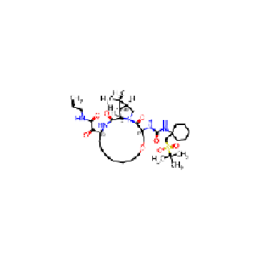 C=CCNC(=O)C(=O)[C@@H]1CCCCCCCOC[C@H](NC(=O)NC2(CS(=O)(=O)C(C)(C)C)CCCCC2)C(=O)N2C[C@H]3[C@@H]([C@H]2C(=O)N1)C3(C)C